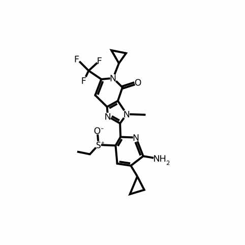 CC[S+]([O-])c1cc(C2CC2)c(N)nc1-c1nc2cc(C(F)(F)F)n(C3CC3)c(=O)c2n1C